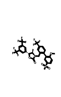 COc1ccc(S(C)(=O)=O)cc1-c1ccc(C(F)(F)F)cc1CN1C(=O)O[C@H](c2cc(C(F)(F)F)cc(C(F)(F)F)c2)[C@H]1C